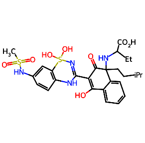 CCC(NC1(CCC(C)C)C(=O)C(C2=NS(O)(O)c3cc(NS(C)(=O)=O)ccc3N2)=C(O)c2ccccc21)C(=O)O